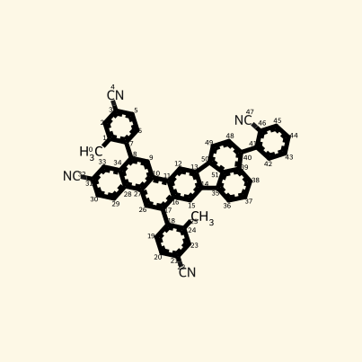 Cc1cc(C#N)ccc1-c1cc2c3cc4c(cc3c(-c3ccc(C#N)cc3C)cc2c2ccc(C#N)cc12)-c1cccc2c(-c3ccccc3C#N)ccc-4c12